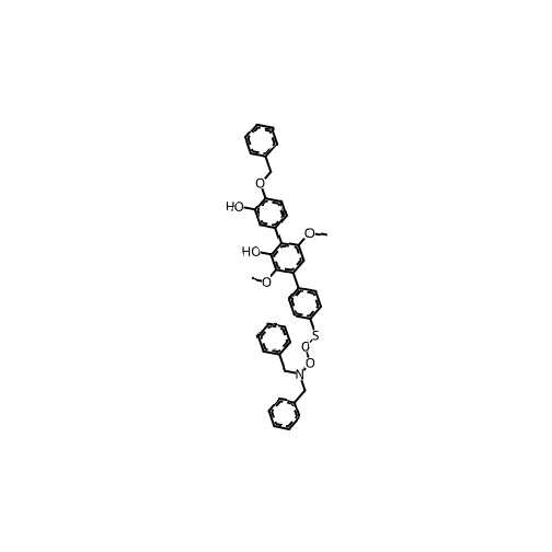 COc1cc(-c2ccc(SOON(Cc3ccccc3)Cc3ccccc3)cc2)c(OC)c(O)c1-c1ccc(OCc2ccccc2)c(O)c1